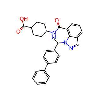 CC(c1ccc(-c2ccccc2)cc1)n1ncc2cccc(C(=O)NC3CCC(C(=O)O)CC3)c21